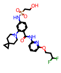 O=C(Nc1cccc(OCCC(F)F)n1)c1ccc(NS(=O)(=O)CCO)cc1N1CCC2(CC1)CC2